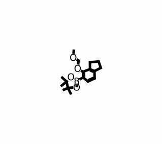 COCOc1c(B2OC(C)(C)C(C)(C)O2)ccc2c1CCC2